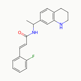 CC(NC(=O)/C=C/c1ccccc1F)c1ccc2c(c1)NCCC2